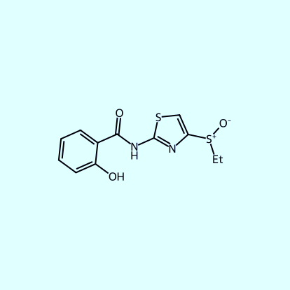 CC[S+]([O-])c1csc(NC(=O)c2ccccc2O)n1